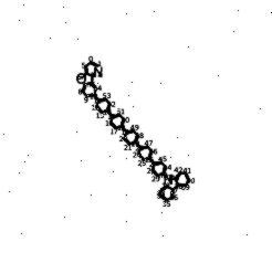 c1cnc2c(c1)oc1ccc(-c3ccc(-c4ccc(-c5ccc(-c6ccc(-c7ccc(-n8c9ccccc9c9ccccc98)cc7)cc6)cc5)cc4)cc3)cc12